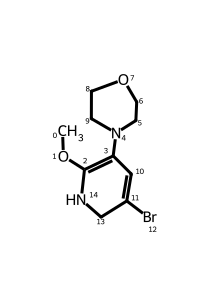 COC1=C(N2CCOCC2)C=C(Br)CN1